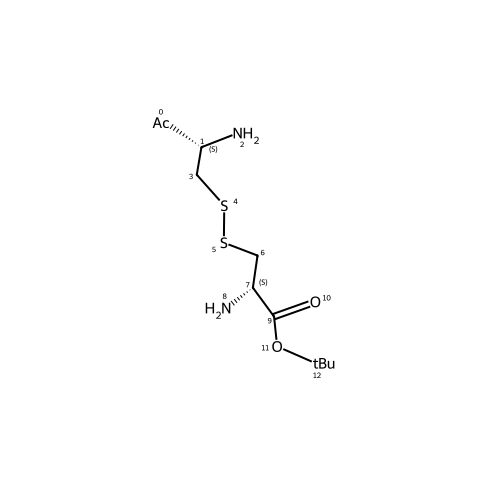 CC(=O)[C@H](N)CSSC[C@@H](N)C(=O)OC(C)(C)C